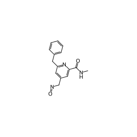 CNC(=O)c1cc(CN=O)cc(Cc2ccccc2)n1